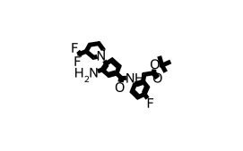 CC(C)(C)OC(=O)Cc1cc(F)ccc1NC(=O)c1ccc(N2CCCC(C(F)F)C2)c(N)c1